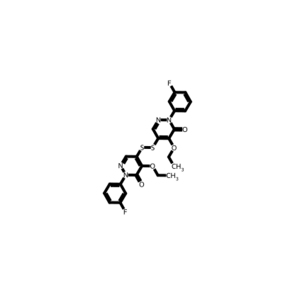 CCOc1c(SSc2cnn(-c3cccc(F)c3)c(=O)c2OCC)cnn(-c2cccc(F)c2)c1=O